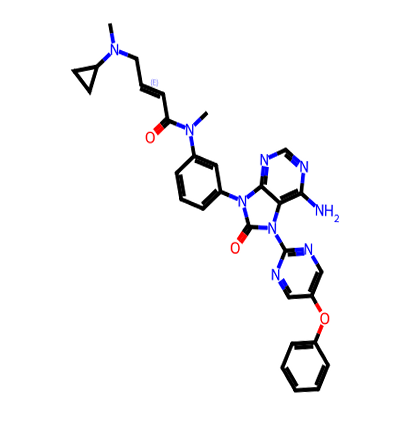 CN(C(=O)/C=C/CN(C)C1CC1)c1cccc(-n2c(=O)n(-c3ncc(Oc4ccccc4)cn3)c3c(N)ncnc32)c1